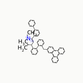 C=C(C)C(/C=C(\N=C/C)c1cccc(-c2ccccc2)c1)c1ccccc1-c1ccccc1Cc1ccc2c3ccccc3c3ccccc3c2c1